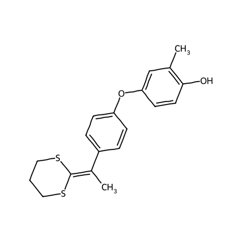 CC(=C1SCCCS1)c1ccc(Oc2ccc(O)c(C)c2)cc1